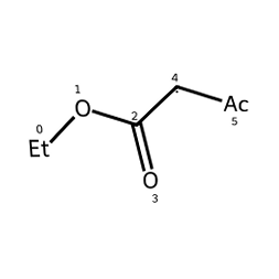 CCOC(=O)[CH]C(C)=O